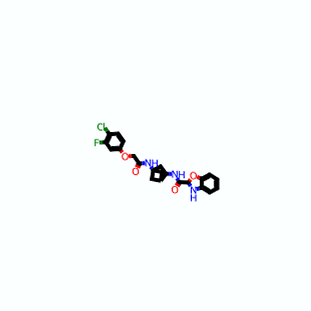 O=C(COc1ccc(Cl)c(F)c1)NC12CC(C1)C(NC(=O)C1Nc3ccccc3O1)C2